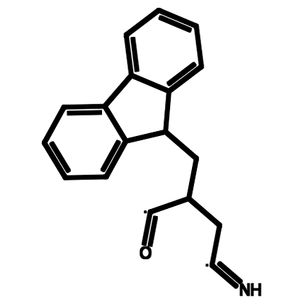 N=[C]CC([C]=O)CC1c2ccccc2-c2ccccc21